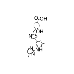 Cc1cc(Nc2nccc(C)n2)cc(-c2cnc(C[C@]3(O)CC[C@H](C(=O)O)CC3)s2)c1